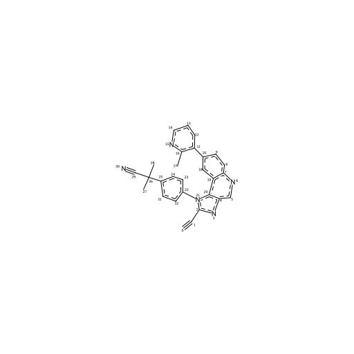 C#Cc1nc2cnc3ccc(-c4cccnc4C)cc3c2n1-c1ccc(C(C)(C)C#N)cc1